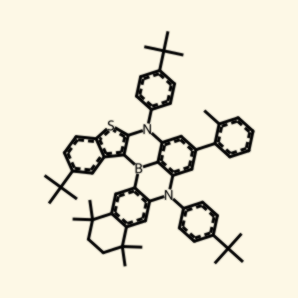 Cc1ccccc1-c1cc2c3c(c1)N(c1ccc(C(C)(C)C)cc1)c1sc4ccc(C(C)(C)C)cc4c1B3c1cc3c(cc1N2c1ccc(C(C)(C)C)cc1)C(C)(C)CCC3(C)C